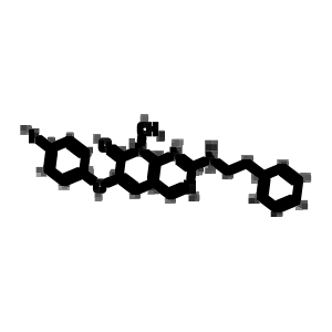 Cn1c(=O)c(Oc2ccc(F)cc2)cc2cnc(NCCc3ccccc3)nc21